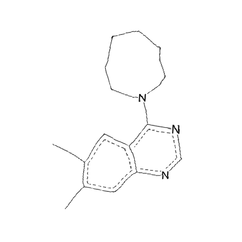 Cc1cc2ncnc(N3CCCCCC3)c2cc1C